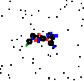 CN(C)c1cccc(-c2c[nH]c3ncnc(Oc4ccc(NC(=O)c5cccn(-c6ccc(F)cc6)c5=O)cc4)c23)c1